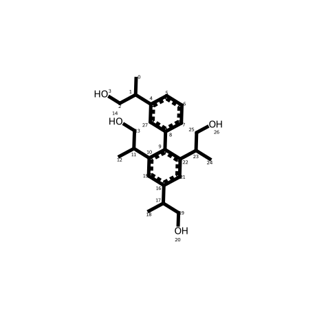 CC(CO)c1cccc(-c2c(C(C)CO)cc(C(C)CO)cc2C(C)CO)c1